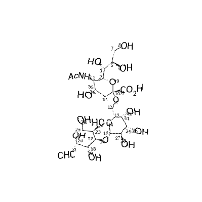 CC(=O)N[C@H]1[C@H]([C@H](O)[C@H](O)CO)O[C@@](OC[C@H]2O[C@@H](O[C@@H]([C@H](O)[C@@H](O)C=O)[C@H](O)CO)[C@H](O)[C@@H](O)[C@H]2O)(C(=O)O)C[C@@H]1O